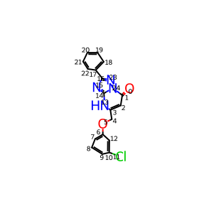 O=c1cc(COc2cccc(Cl)c2)[nH]c2nc(-c3ccccc3)nn12